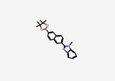 Cn1c(-c2ccc3cc(B4OC(C)(C)C(C)(C)O4)ccc3c2)nc2ccccc21